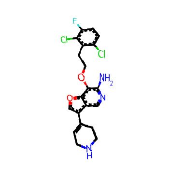 Nc1ncc2c(C3=CCNCC3)coc2c1OCCc1c(Cl)ccc(F)c1Cl